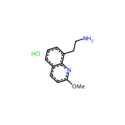 COc1ccc2cccc(CCN)c2n1.Cl